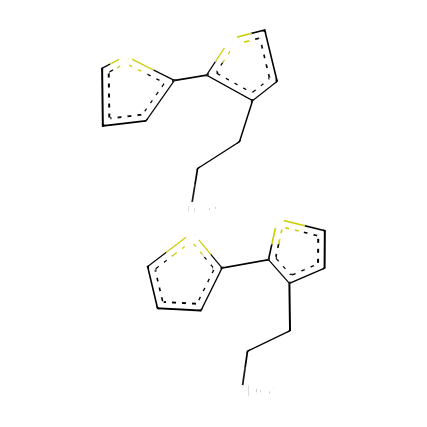 CCCCCCCCCCCCc1ccsc1-c1cccs1.CCCCCCCCCCCCc1ccsc1-c1cccs1